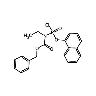 CCN(C(=O)OCc1ccccc1)P(=O)(Cl)Oc1cccc2ccccc12